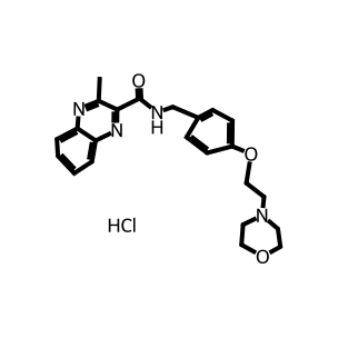 Cc1nc2ccccc2nc1C(=O)NCc1ccc(OCCN2CCOCC2)cc1.Cl